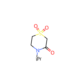 CC(C)N1CCS(=O)(=O)CC1=O